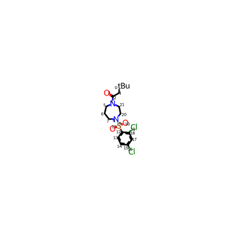 CC(C)(C)CC(=O)N1CCCN(S(=O)(=O)c2ccc(Cl)cc2Cl)CC1